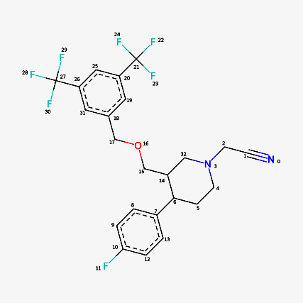 N#CCN1CCC(c2ccc(F)cc2)C(COCc2cc(C(F)(F)F)cc(C(F)(F)F)c2)C1